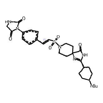 CCCCC1CCC(C2=NC3(CCN(S(=O)(=O)/C=C/c4ccc(N5C(=O)CNC5=O)cc4)CC3)C(=O)N2)CC1